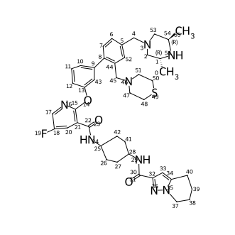 C[C@@H]1CN(Cc2ccc(-c3cccc(Oc4ncc(F)cc4C(=O)NC4CCC(NC(=O)c5cc6n(n5)CCCC6)CC4)c3)c(CN3CCSCC3)c2)C[C@@H](C)N1